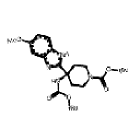 COc1ccc2[nH]c(C3(NC(=O)OC(C)(C)C)CCN(C(=O)OC(C)(C)C)CC3)nc2c1